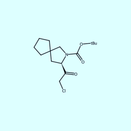 CC(C)(C)OC(=O)N1CC2(CCCC2)C[C@@H]1C(=O)CCl